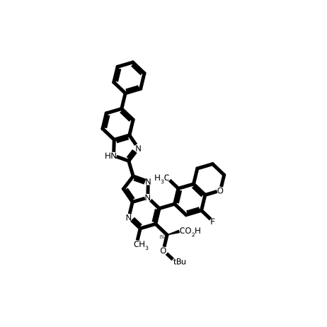 Cc1nc2cc(-c3nc4cc(-c5ccccc5)ccc4[nH]3)nn2c(-c2cc(F)c3c(c2C)CCCO3)c1[C@H](OC(C)(C)C)C(=O)O